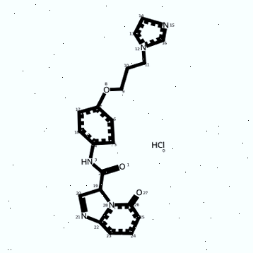 Cl.O=C(Nc1ccc(OCCCn2ccnc2)cc1)C1C=Nc2cccc(=O)n21